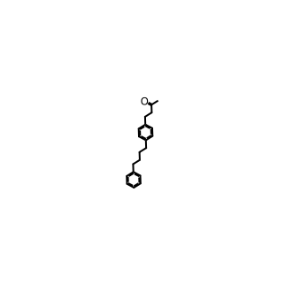 CC(=O)CCc1ccc(CCCCc2ccccc2)cc1